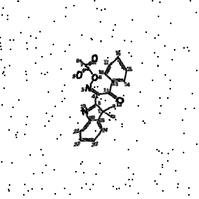 CC1(C)C(/C(=N/OS(C)(=O)=O)C(=O)c2ccccc2)=Nc2ccccc21